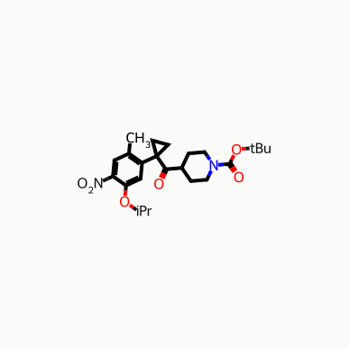 Cc1cc([N+](=O)[O-])c(OC(C)C)cc1C1(C(=O)C2CCN(C(=O)OC(C)(C)C)CC2)CC1